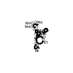 CC[C@H]1CCC[C@H](O[C@H]2CC[C@H](N(C)C)C(C)O2)[C@@H](C)C(=O)C2=C[C@H]3[C@@H]4C[C@H](O[C@@H]5OC(C)[C@H](OC)C(OC)C5OC)C[C@H]4[C@@H](O)[C@H](NC(C)(C)c4ccccc4)[C@H]3[C@@H]2CC(=O)O1